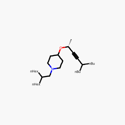 CCCCCCC(CCCCCC)CN1CCC(O[C@H](C)C#CC(CCCC)CCCC)CC1